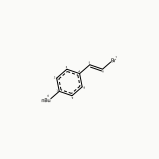 CCCCc1ccc(C=CBr)cc1